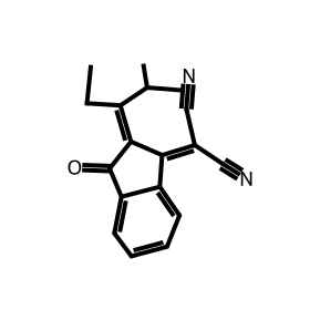 CC/C(=C1\C(=O)c2ccccc2C1=C(C#N)C#N)C(C)C